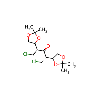 CC1(C)OCC([C@H](CCl)C(=O)[C@@H](CCl)C2COC(C)(C)O2)O1